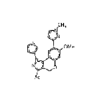 COc1cc2c(cc1-c1ccn(C)n1)-c1c(c(C(C)=O)nn1-c1ccsc1)CO2